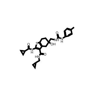 Cc1ccc(NC(=O)NCC2(O)CCc3sc(NC(=O)C4CC4)c(C(=O)NCC4CC4)c3C2)cc1